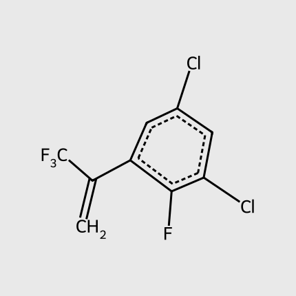 C=C(c1cc(Cl)cc(Cl)c1F)C(F)(F)F